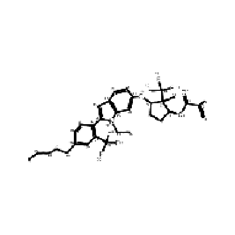 C=C(C)C(=O)OC1CCC(Oc2ccc3cc(-c4ccc(CCCCC)cc4C(F)(F)F)n(CC)c3c2)C1(C)C(F)(F)F